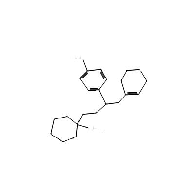 CCCCCCC1(CCC(CC2=CCCCC2)c2ccc(CCCC)cc2)CCCCC1